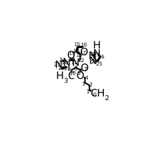 C=CCCCOC(=O)C(CC)N(Cc1ccco1)C(=O)n1ccnc1.c1c[nH]nn1